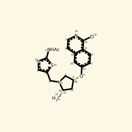 CC(=O)Nc1ncc(CN2C[C@H](Oc3ccc4c(Cl)nccc4c3)C[C@@H]2C)s1